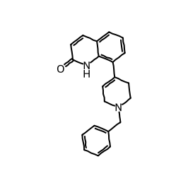 O=c1ccc2cccc(C3=CCN(Cc4ccccc4)CC3)c2[nH]1